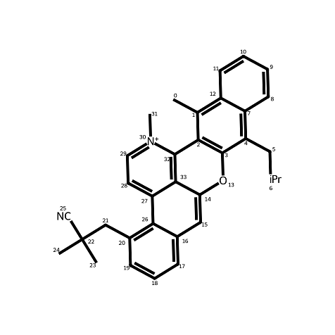 Cc1c2c(c(CC(C)C)c3ccccc13)Oc1cc3cccc(CC(C)(C)C#N)c3c3cc[n+](C)c-2c13